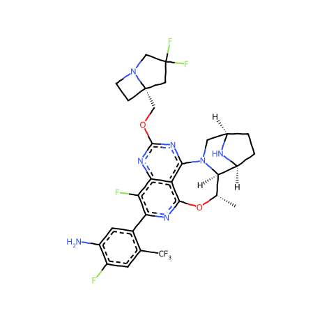 C[C@@H]1Oc2nc(-c3cc(N)c(F)cc3C(F)(F)F)c(F)c3nc(OC[C@]45CCN4CC(F)(F)C5)nc(c23)N2C[C@H]3CC[C@H](N3)[C@@H]12